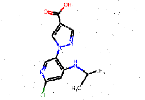 CC(C)Nc1cc(Cl)ncc1-n1cc(C(=O)O)cn1